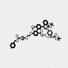 CC(C)(C)OC(=O)NC1CCC(N(CC(c2ccccc2)c2ccc(Cl)c(-c3c(C(N)=O)ccc(OCCOC4CN(C(=O)OCc5ccccc5)C4)c3F)c2)C(=O)OC(C)(C)C)CC1